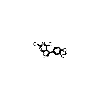 Clc1nc(Cl)c2c(-c3ccc4c(c3)OCO4)csc2n1